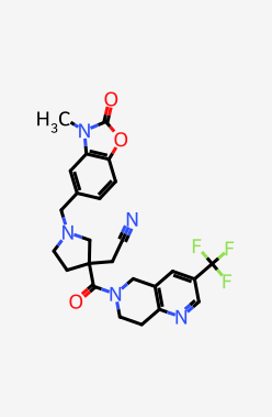 Cn1c(=O)oc2ccc(CN3CCC(CC#N)(C(=O)N4CCc5ncc(C(F)(F)F)cc5C4)C3)cc21